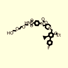 CCOc1cc(-c2ccc(F)cc2)c(C2CC2)cc1CN1CCC2(CC1)CN(c1ccc(S(=O)(=O)NCCOCCOCCO)cc1)C(=O)O2